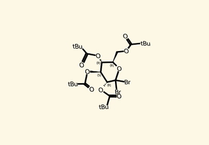 CC(C)(C)C(=O)OC[C@H]1OC(Br)(Br)[C@H](OC(=O)C(C)(C)C)[C@@H](OC(=O)C(C)(C)C)[C@@H]1OC(=O)C(C)(C)C